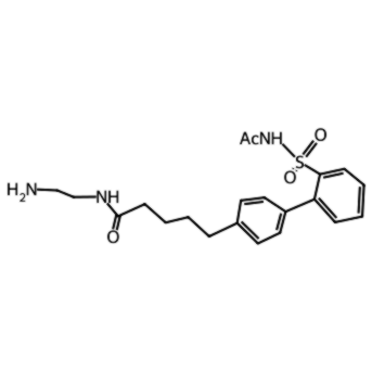 CC(=O)NS(=O)(=O)c1ccccc1-c1ccc(CCCCC(=O)NCCN)cc1